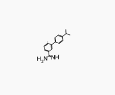 CC(C)c1ccc(-c2[c]ccc(C(=N)N)c2)cc1